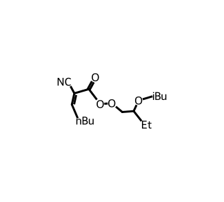 CCCCC=C(C#N)C(=O)OOCC(CC)OC(C)CC